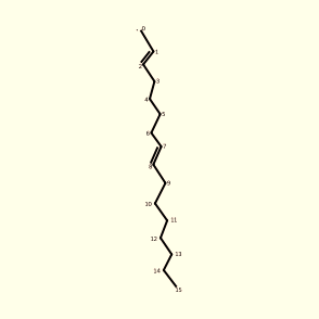 [CH2]C=CCCCCC=CCCCCCCC